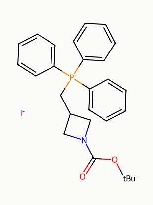 CC(C)(C)OC(=O)N1CC(C[P+](c2ccccc2)(c2ccccc2)c2ccccc2)C1.[I-]